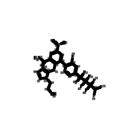 NC(=O)c1cc([N+](=O)[O-])cc(-c2ncc(C(F)(F)C(F)(F)C(F)(F)C(F)F)cc2F)c1Sc1nnnn1CCO